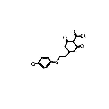 CCC(=O)C1C(=O)CC(CCSc2ccc(Cl)cc2)CC1=O